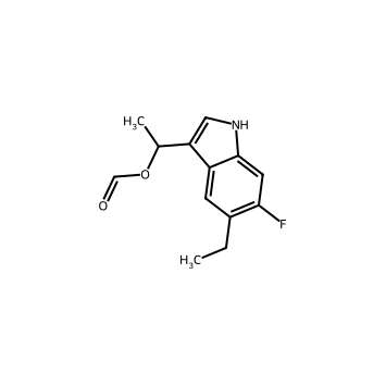 CCc1cc2c(C(C)OC=O)c[nH]c2cc1F